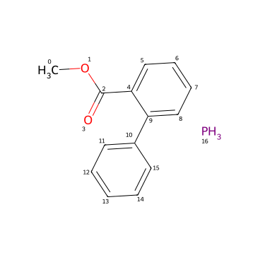 COC(=O)c1ccccc1-c1ccccc1.P